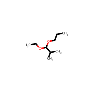 C[CH]OC(OCCC)C(C)C